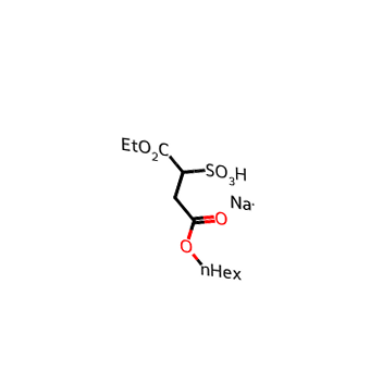 CCCCCCOC(=O)CC(C(=O)OCC)S(=O)(=O)O.[Na]